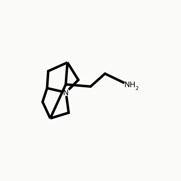 NCCC1C2CC3CC1CN3C2